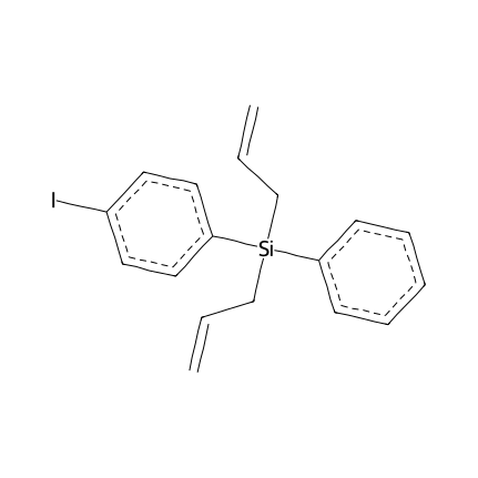 C=CC[Si](CC=C)(c1ccccc1)c1ccc(I)cc1